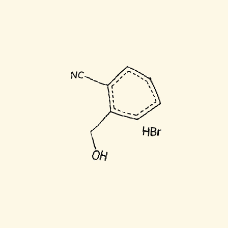 Br.N#Cc1ccccc1CO